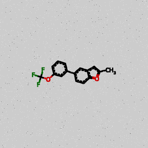 Cc1cc2cc(-c3cccc(OC(F)(F)F)c3)ccc2o1